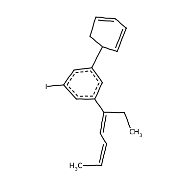 C/C=C\C=C(/CC)c1cc(I)cc(C2C=CC=CC2)c1